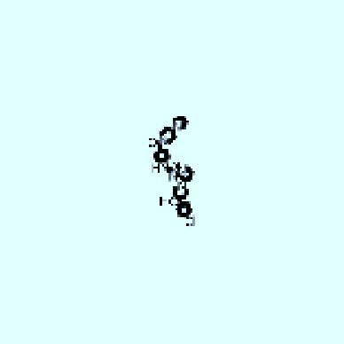 O=C(c1ccc(Nc2nc3c(N4CCC(O)(c5ccc(Cl)cc5)CC4)cccn3n2)cc1)N1CCC(N2CCCC2)CC1